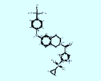 O=C(c1c[nH]c(S(=O)(=O)C2CC2)n1)N1CCc2cc(Oc3ccc(C(F)(F)F)cc3)ccc2C1